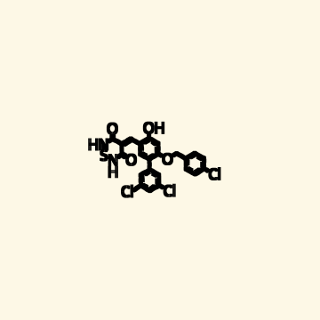 O=C1NSNC(=O)C1=Cc1cc(-c2cc(Cl)cc(Cl)c2)c(OCc2ccc(Cl)cc2)cc1O